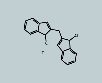 ClC1C(CC2=Cc3ccccc3C2Cl)=Cc2ccccc21.[Ti]